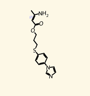 C/C(N)=C/C(=O)OCCCSc1ccc(-n2ccnc2)cc1